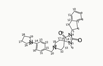 CN1C(=O)N(C2Cc3ccccc3C2)C(=O)C12CCN(Cc1ccc(N3CCCC3)cc1)CC2